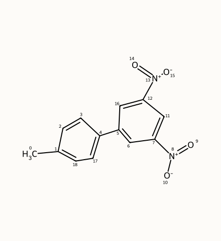 Cc1ccc(-c2cc([N+](=O)[O-])cc([N+](=O)[O-])c2)cc1